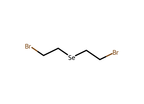 BrCC[Se]CCBr